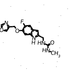 CNC(=O)NCc1cc2cc(F)c(OCc3cocn3)cc2[nH]1